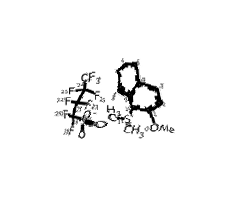 COc1ccc2ccccc2c1[S+](C)C.O=S(=O)([O-])C(F)(F)C(F)(F)C(F)(F)C(F)(F)F